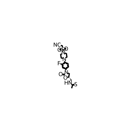 CC(=S)NC[C@H]1CN(c2ccc(N3CCN(S(=O)(=O)CC#N)CC3)c(F)c2)C(=O)O1